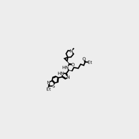 CCC(=O)CCCCC[C@H](NC(=O)[C@H]1CC12CCN(C)CC2)c1ncc(-c2ccc3nc(CC)sc3c2)[nH]1